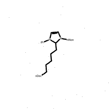 CCCCCCCCCCCCCCCC1N(CCCCCCCCC)C=CN1C(C)C